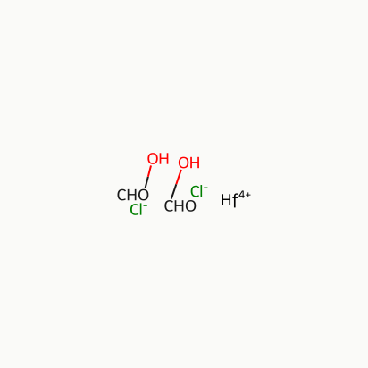 O=[C-]O.O=[C-]O.[Cl-].[Cl-].[Hf+4]